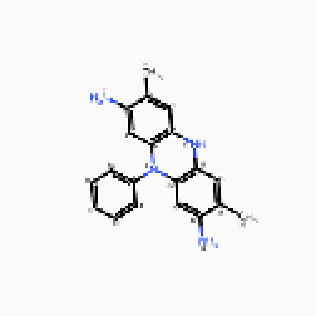 Cc1cc2c(cc1N)N(c1ccccc1)c1cc(N)c(C)cc1N2